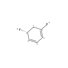 FC1=C[C]=C[C@H](F)[CH]1